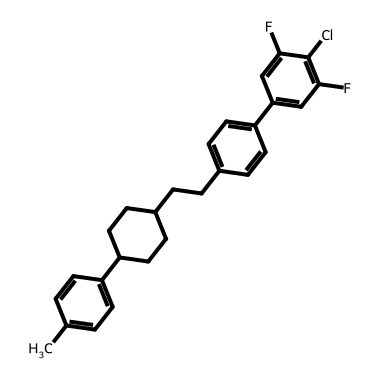 Cc1ccc(C2CCC(CCc3ccc(-c4cc(F)c(Cl)c(F)c4)cc3)CC2)cc1